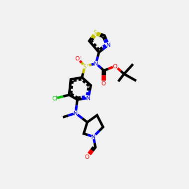 CN(c1ncc([S+]([O-])N(C(=O)OC(C)(C)C)c2cscn2)cc1Cl)C1CCN(C=O)C1